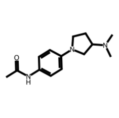 CC(=O)Nc1ccc(N2CCC(N(C)C)C2)cc1